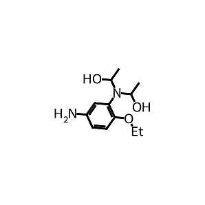 CCOc1ccc(N)cc1N(C(C)O)C(C)O